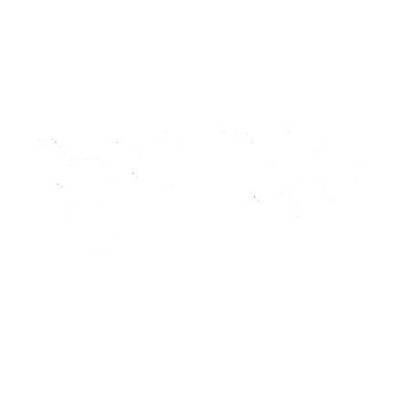 COCCc1nc2c(N)nc3ccccc3c2n1CCCCNS(=O)(=O)c1ccccc1F